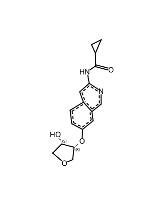 O=C(Nc1cc2ccc(O[C@@H]3COC[C@@H]3O)cc2cn1)C1CC1